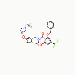 CN1CC[C@@H](Oc2ccc3c(c2)CN(C(=O)c2c(O)cc(C(F)F)cc2OCc2ccccc2)CC3)C1